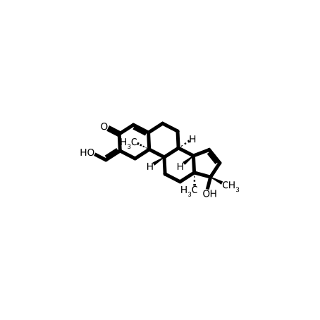 C[C@]12C/C(=C/O)C(=O)C=C1CC[C@@H]1[C@@H]2CC[C@@]2(C)[C@H]1C=C[C@]2(C)O